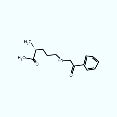 CC(=O)[C@H](C)CCCNCC(=O)c1ccccc1